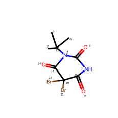 CC(C)(C)N1C(=O)NC(=O)C(Br)(Br)C1=O